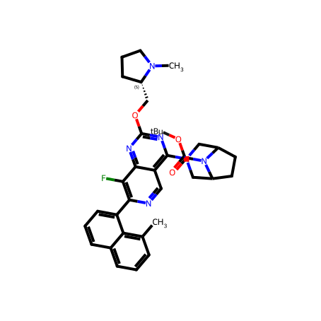 Cc1cccc2cccc(-c3ncc4c(N5CC6CCC(C5)N6C(=O)OC(C)(C)C)nc(OC[C@@H]5CCCN5C)nc4c3F)c12